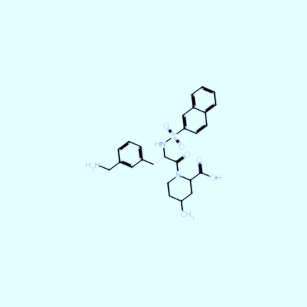 CC1CCN(C(=O)[C@H](Cc2cccc(CN)c2)NS(=O)(=O)c2ccc3ccccc3c2)C(C(=O)O)C1